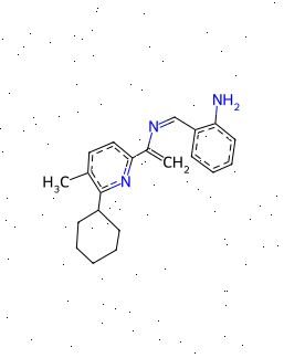 C=C(/N=C\c1ccccc1N)c1ccc(C)c(C2CCCCC2)n1